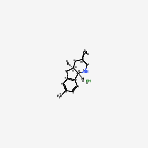 C[C@H]1CN[C@H]2c3ccc(C(F)(F)F)cc3C[C@H]2C1.Cl